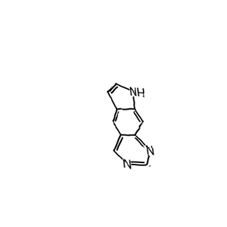 [c]1ncc2cc3cc[nH]c3cc2n1